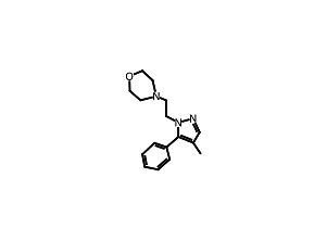 Cc1cnn(CCN2CCOCC2)c1-c1ccccc1